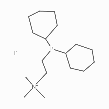 C[N+](C)(C)CCP(C1CCCCC1)C1CCCCC1.[I-]